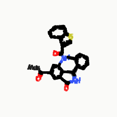 CNC(=O)c1cc(NC(=O)c2csc3ccccc23)c2c(c1)C(=O)NC2c1ccccc1C